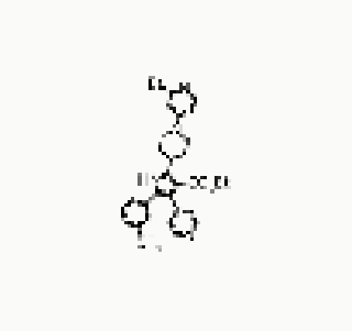 CCOC(=O)c1c(C2CCN(c3ccnc(CC)c3)CC2)[nH]c(-c2cccc(C(F)(F)F)c2)c1-c1ccncc1